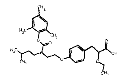 CCOC(Cc1ccc(OCCN(CCC(C)C)C(=O)Oc2c(C)cc(C)cc2C)cc1)C(=O)O